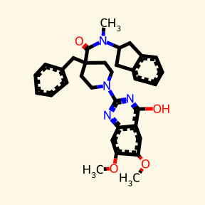 COc1cc2nc(N3CCC(Cc4ccccc4)(C(=O)N(C)C4Cc5ccccc5C4)CC3)nc(O)c2cc1OC